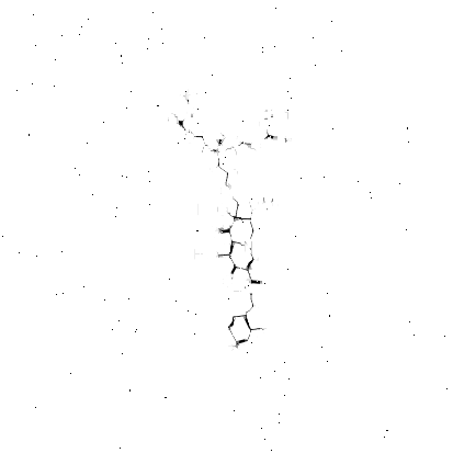 COC1Cn2cc(C(=O)NCc3ccc(F)cc3F)c(=O)c(O)c2C(=O)C1(C)COCCP(=O)(OCOC(=O)OC(C)C)OCOC(=O)OC(C)C